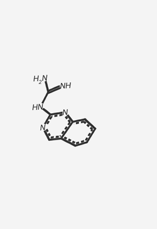 N=C(N)Nc1ncc2ccccc2n1